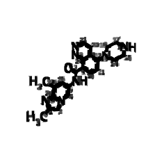 Cc1cn2cc(NC(=O)c3ccc(N4CCNCC4)c4ccnnc34)cc(C)c2n1